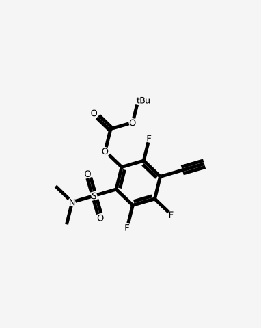 C#Cc1c(F)c(F)c(S(=O)(=O)N(C)C)c(OC(=O)OC(C)(C)C)c1F